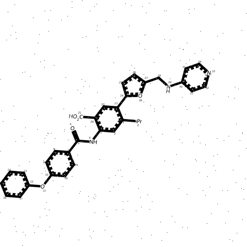 CC(C)c1cc(NC(=O)c2ccc(Oc3ccccc3)cc2)c(C(=O)O)cc1-c1ccc(CNc2ccncc2)o1